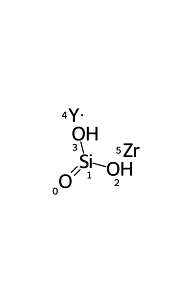 O=[Si](O)O.[Y].[Zr]